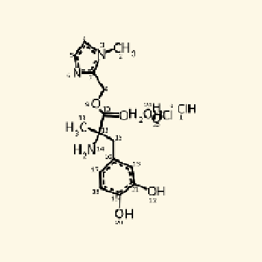 Cl.Cl.Cn1ccnc1COC(=O)C(C)(N)Cc1ccc(O)c(O)c1.O.O